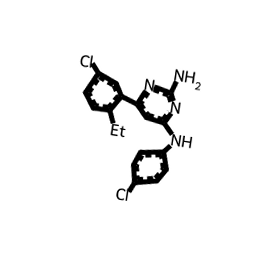 CCc1ccc(Cl)cc1-c1cc(Nc2ccc(Cl)cc2)nc(N)n1